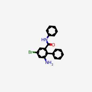 Nc1cc(Br)cc(C(=O)Nc2ccccc2)c1-c1ccccc1